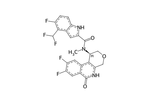 CN(C(=O)c1cc2c(C(F)F)c(F)ccc2[nH]1)[C@H]1COCc2[nH]c(=O)c3cc(F)c(F)cc3c21